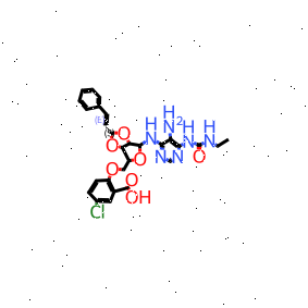 CCNC(=O)Nc1ncnc(NC2OC(COc3ccc(Cl)cc3C(=O)O)C3O[C@H](/C=C/c4ccccc4)OC23)c1N